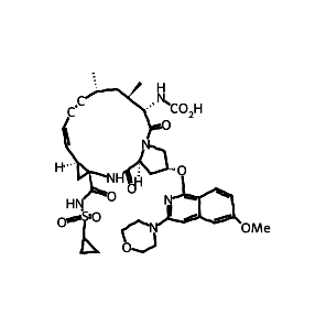 COc1ccc2c(O[C@@H]3C[C@H]4C(=O)N[C@]5(C(=O)NS(=O)(=O)C6CC6)C[C@H]5C=CCC[C@H](C)C[C@@H](C)[C@H](NC(=O)O)C(=O)N4C3)nc(N3CCOCC3)cc2c1